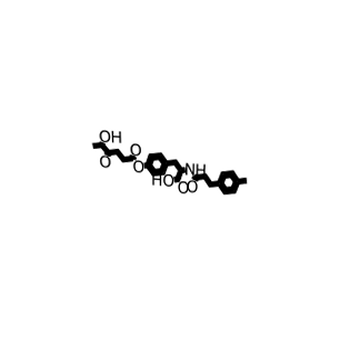 Cc1ccc(CCC(=O)NC(Cc2ccc(OC(=O)CCC(=O)C(C)O)cc2)C(=O)O)cc1